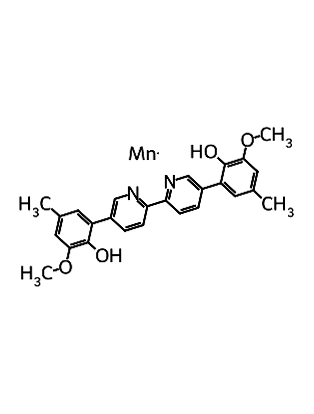 COc1cc(C)cc(-c2ccc(-c3ccc(-c4cc(C)cc(OC)c4O)cn3)nc2)c1O.[Mn]